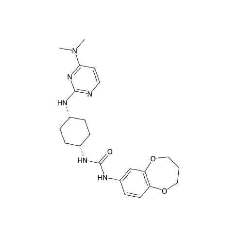 CN(C)c1ccnc(N[C@H]2CC[C@@H](NC(=O)Nc3ccc4c(c3)OCCCO4)CC2)n1